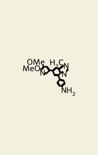 COc1cc(-c2cc(-c3ccc(N)cc3)c3ncnc(C)c3c2)cnc1OC